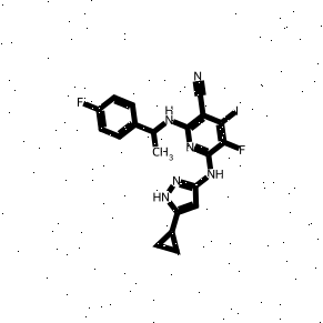 CC(Nc1nc(Nc2cc(C3CC3)[nH]n2)c(F)c(I)c1C#N)c1ccc(F)cc1